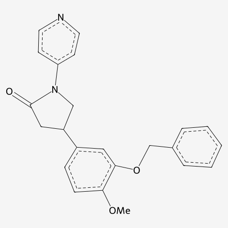 COc1ccc(C2CC(=O)N(c3ccncc3)C2)cc1OCc1ccccc1